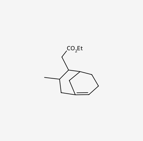 CCOC(=O)CC1C(C)CC2=CCCC1C2